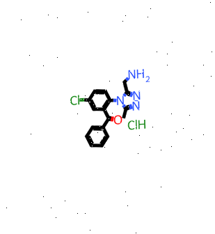 Cc1nnc(CN)n1-c1ccc(Cl)cc1C(=O)c1ccccc1.Cl